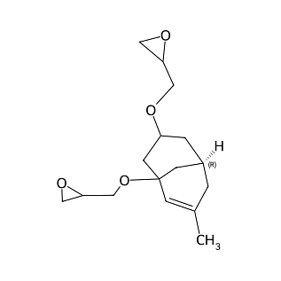 CC1=CC2(OCC3CO3)CC(OCC3CO3)C[C@@H](C1)C2